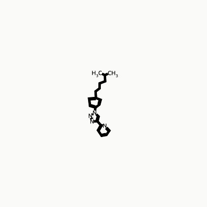 CC(C)CCCCc1ccc(-n2cc(-c3ccccn3)nn2)cc1